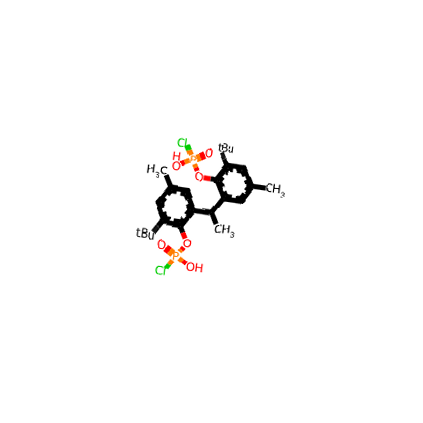 Cc1cc(C(C)c2cc(C)cc(C(C)(C)C)c2OP(=O)(O)Cl)c(OP(=O)(O)Cl)c(C(C)(C)C)c1